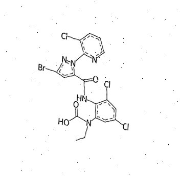 CCN(C(=O)O)c1cc(Cl)cc(Cl)c1NC(=O)c1cc(Br)nn1-c1ncccc1Cl